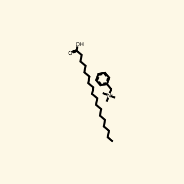 CCCCCCCCCCCCCCCCCC(=O)O.C[N+](C)(C)Cc1ccccc1